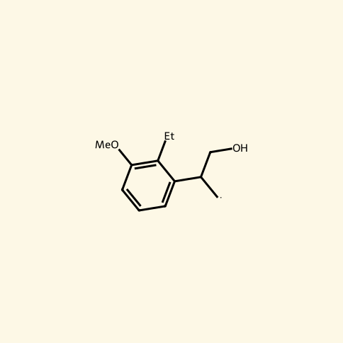 [CH2]C(CO)c1cccc(OC)c1CC